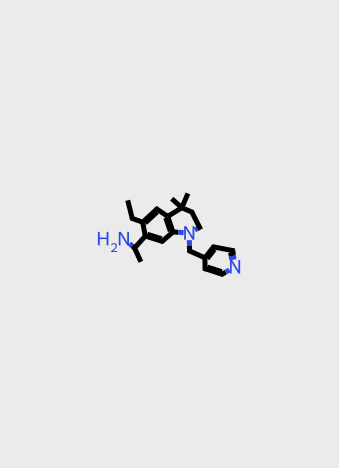 CCc1cc2c(cc1C(C)N)N(Cc1ccncc1)CCC2(C)C